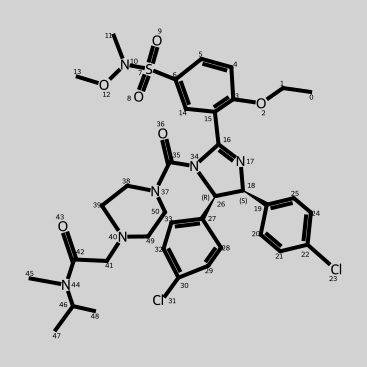 CCOc1ccc(S(=O)(=O)N(C)OC)cc1C1=N[C@@H](c2ccc(Cl)cc2)[C@@H](c2ccc(Cl)cc2)N1C(=O)N1CCN(CC(=O)N(C)C(C)C)CC1